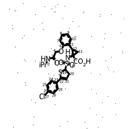 CC(C)NC(=O)COc1ccccc1C1CC1(NS(=O)(=O)C1CC=C(c2ccc(Cl)cc2)S1)C(=O)O